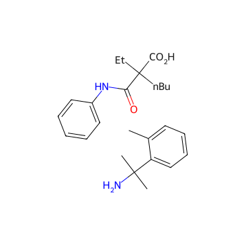 CCCCC(CC)(C(=O)O)C(=O)Nc1ccccc1.Cc1ccccc1C(C)(C)N